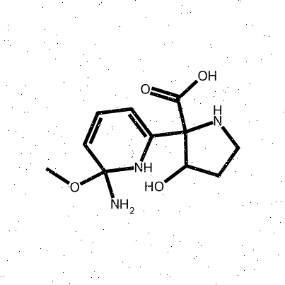 COC1(N)C=CC=C(C2(C(=O)O)NCCC2O)N1